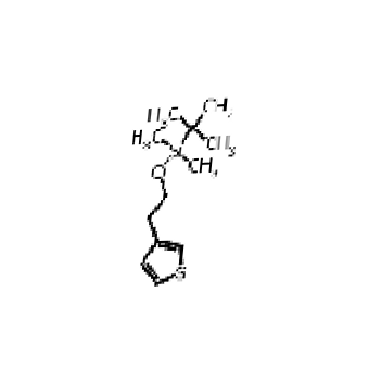 CC(C)(C)[Si](C)(C)OCCc1ccsc1